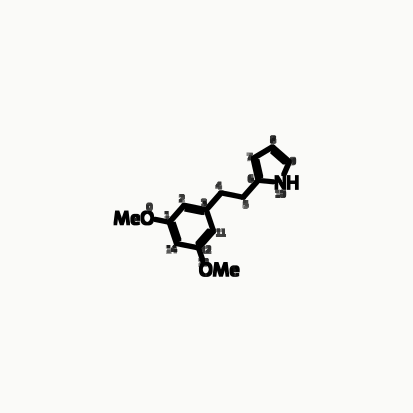 COc1cc(CCc2ccc[nH]2)cc(OC)c1